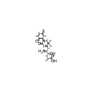 CC(CC(O)C(N)CN1CC(=O)N(c2cc(F)ccc2Cl)CC1(C)C)C(=O)O